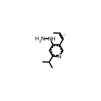 C/C=C\c1cnc(C(C)C)cc1NN